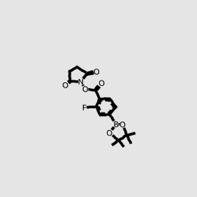 CC1(C)OB(c2ccc(C(=O)ON3C(=O)CCC3=O)c(F)c2)OC1(C)C